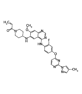 C=CC(=O)N1CCC(Nc2cc3c(Nc4ccc(Oc5ccnc(-n6cc(C)cn6)n5)cc4F)ncnc3cc2OC)CC1